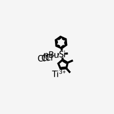 CCCC[Si](C)(C1=C(C)C(C)=[C]([Ti+3])C1)c1ccccc1.[Cl-].[Cl-].[Cl-]